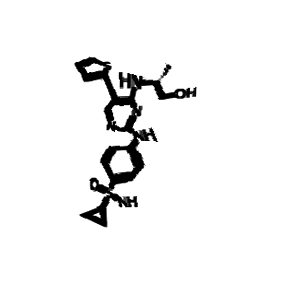 C[C@H](CO)Nc1nc(Nc2ccc(S(=N)(=O)C3CC3)cc2)ncc1-c1cccs1